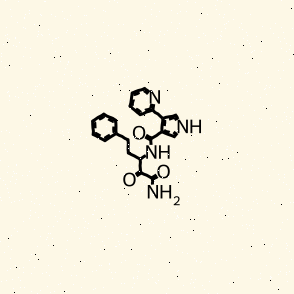 NC(=O)C(=O)C(CCc1ccccc1)NC(=O)c1c[nH]cc1-c1ccccn1